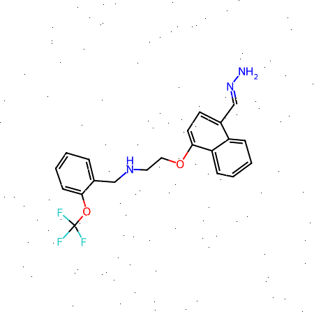 NN=Cc1ccc(OCCNCc2ccccc2OC(F)(F)F)c2ccccc12